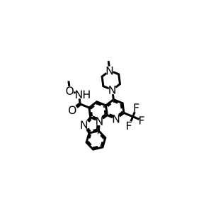 CONC(=O)c1cc2c(N3CCN(C)CC3)cc(C(F)(F)F)nc2n2c1nc1ccccc12